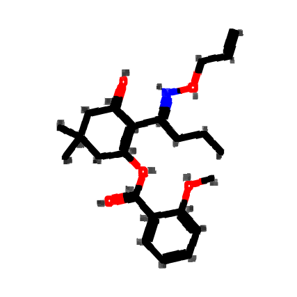 C=CCON=C(CCC)C1=C(OC(=O)c2ccccc2OC)CC(C)(C)CC1=O